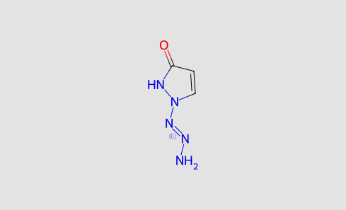 N/N=N/n1ccc(=O)[nH]1